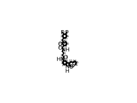 O=C(CCCNC(=O)c1cccn(Cc2ccc(F)c(F)c2)c1=O)Nc1ccc2c(c1)C(=Cc1cccs1)C(=O)N2